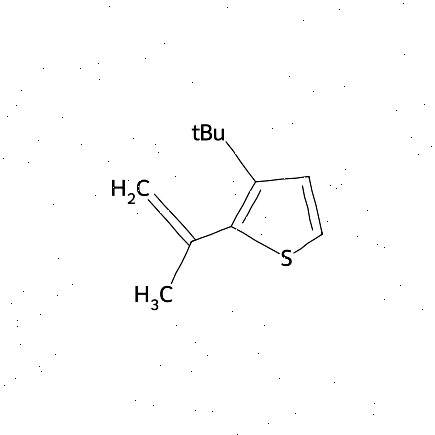 C=C(C)c1sccc1C(C)(C)C